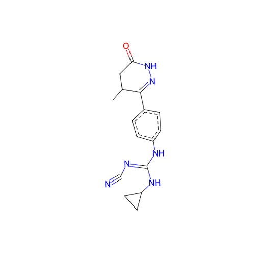 CC1CC(=O)NN=C1c1ccc(NC(=NC#N)NC2CC2)cc1